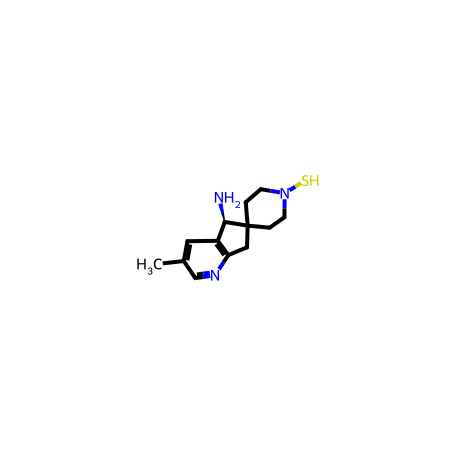 Cc1cnc2c(c1)[C@@H](N)C1(CCN(S)CC1)C2